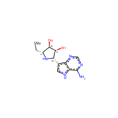 CSC[C@H]1N[C@@H](c2c[nH]c3c(N)ncnc23)[C@H](O)[C@@H]1O